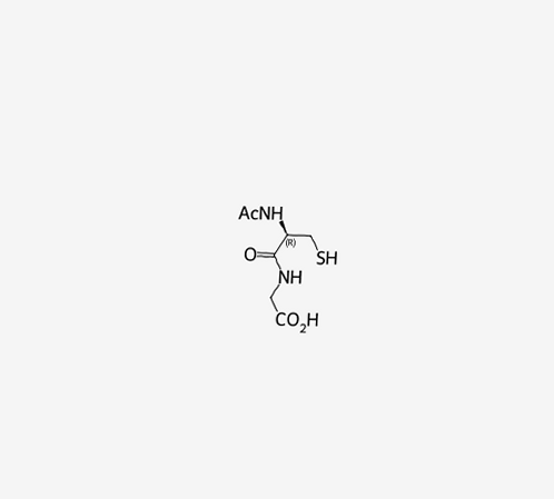 CC(=O)N[C@@H](CS)C(=O)NCC(=O)O